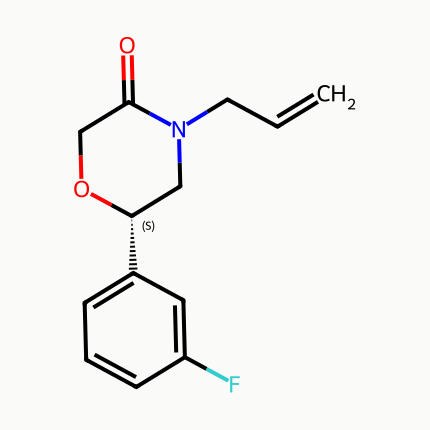 C=CCN1C[C@H](c2cccc(F)c2)OCC1=O